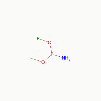 NP(OF)OF